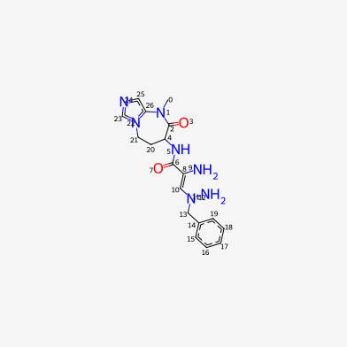 CN1C(=O)C(NC(=O)/C(N)=C/N(N)Cc2ccccc2)CCn2cncc21